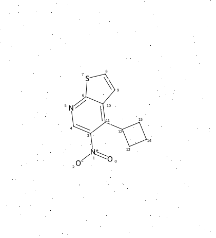 O=[N+]([O-])c1cnc2sccc2c1C1CCC1